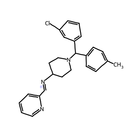 Cc1ccc(C(c2cccc(Cl)c2)N2CCC(/N=C/c3ccccn3)CC2)cc1